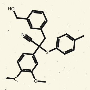 COc1ccc(C(C#N)(Cc2cccc(CO)c2)Sc2ccc(C)cc2)cc1OC